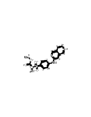 CC(C)N(C(=O)OC(C)(C)C)S(=O)(=O)c1ccc(Nc2cc3cnccc3cn2)cc1